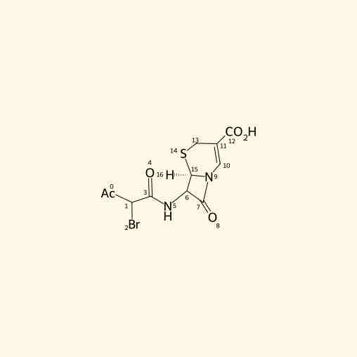 CC(=O)C(Br)C(=O)NC1C(=O)N2C=C(C(=O)O)CS[C@H]12